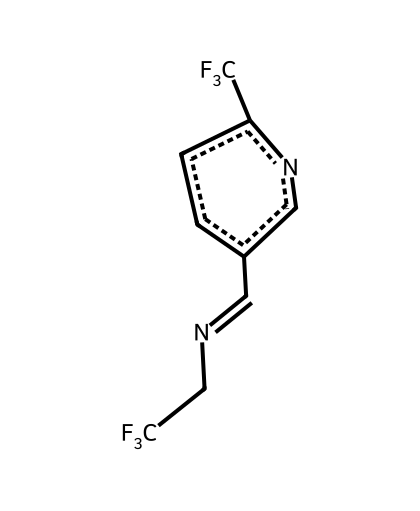 FC(F)(F)C/N=C/c1ccc(C(F)(F)F)nc1